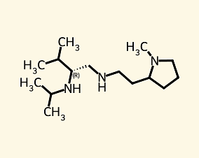 CC(C)N[C@@H](CNCCC1CCCN1C)C(C)C